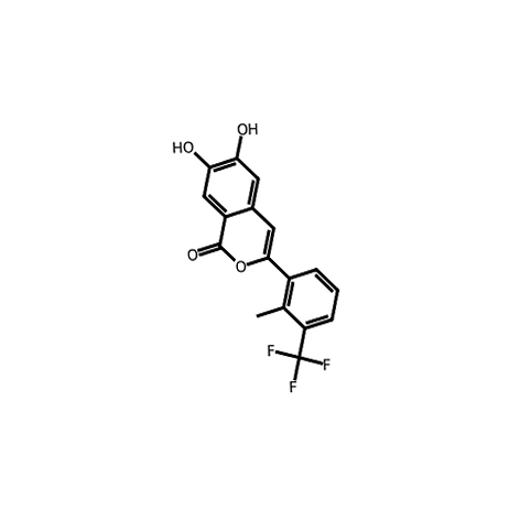 Cc1c(-c2cc3cc(O)c(O)cc3c(=O)o2)cccc1C(F)(F)F